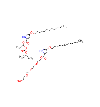 CCCCCCCCCCCCOc1c[nH]c(C(=O)OC(C)OC(=O)OC(C)C)c1.CCCCCCCCCCCCOc1c[nH]c(C(=O)OCCOCCOCCOCCO)c1